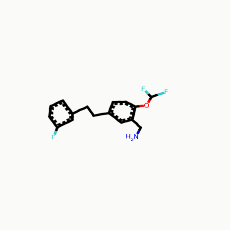 NCc1cc(CCc2cccc(F)c2)ccc1OC(F)F